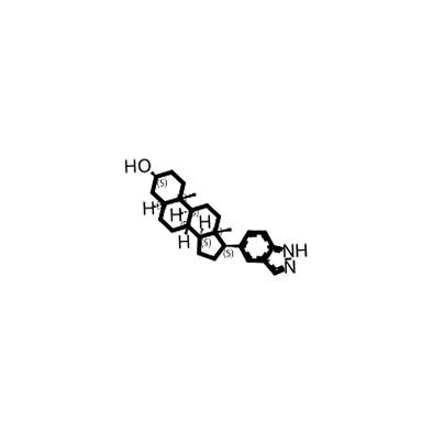 C[C@]12CC[C@H](O)C[C@@H]1CC[C@@H]1[C@@H]2CC[C@]2(C)[C@@H](c3ccc4[nH]ncc4c3)CC[C@@H]12